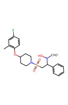 Cc1cc(F)ccc1OC1CCN(S(=O)(=O)CC(c2ccccc2)N(O)C=O)CC1